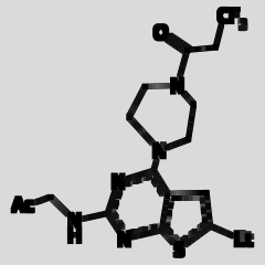 CCc1cc2c(N3CCN(C(=O)CC(F)(F)F)CC3)nc(NCC(C)=O)nc2s1